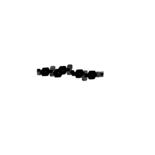 COc1ccc(C(=O)Oc2ccc3cc(C(=O)OCCc4ccc(OC(=O)c5ccc(O)cc5)cc4)ccc3c2)cc1